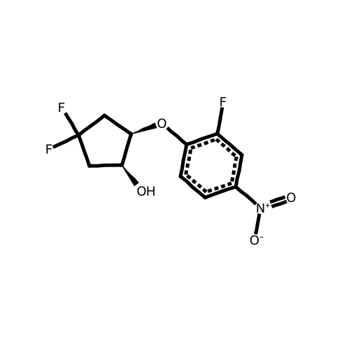 O=[N+]([O-])c1ccc(O[C@@H]2CC(F)(F)C[C@@H]2O)c(F)c1